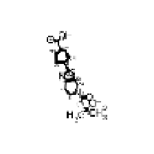 CC(C)(C)OC(=O)N1CCc2nc(-c3ccc(C(=O)O)cc3)sc2C1